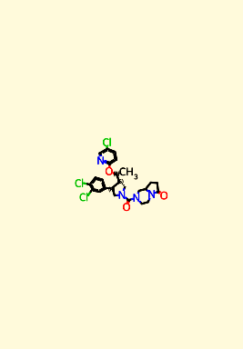 C[C@@H](Oc1ccc(Cl)cn1)[C@@H]1CN(C(=O)N2CCN3C(=O)CCC3C2)C[C@H]1c1ccc(Cl)c(Cl)c1